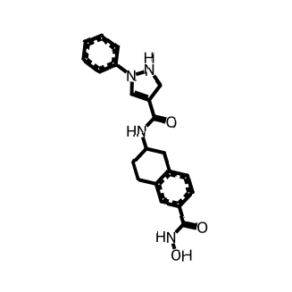 O=C(NC1CCc2cc(C(=O)NO)ccc2C1)C1=CN(c2ccccc2)NC1